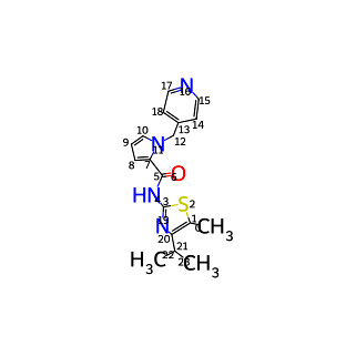 Cc1sc(NC(=O)c2cccn2Cc2ccncc2)nc1C(C)C